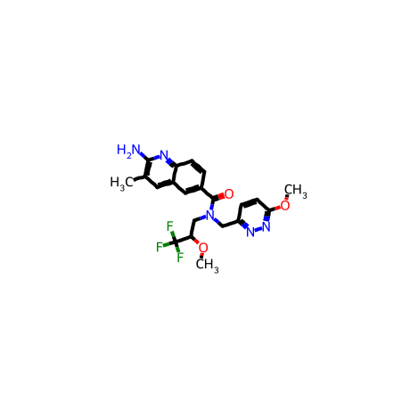 COc1ccc(CN(CC(OC)C(F)(F)F)C(=O)c2ccc3nc(N)c(C)cc3c2)nn1